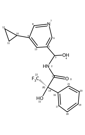 O=C(NC(O)c1cncc(C2CC2)c1)[C@](O)(c1ccccc1)C(F)(F)F